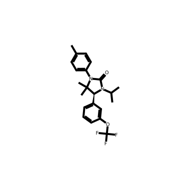 Cc1ccc(N2C(=O)N(C(C)C)[C@@H](c3cccc(OC(F)(F)F)c3)C2(C)C)cc1